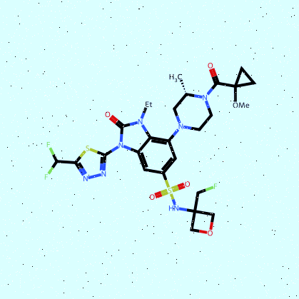 CCn1c(=O)n(-c2nnc(C(F)F)s2)c2cc(S(=O)(=O)NC3(CF)COC3)cc(N3CCN(C(=O)C4(OC)CC4)[C@@H](C)C3)c21